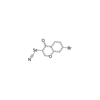 N#C[Se]c1coc2cc(Br)ccc2c1=O